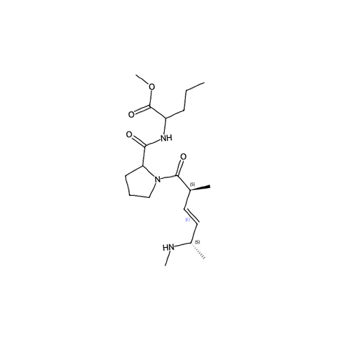 CCCC(NC(=O)C1CCCN1C(=O)[C@@H](C)/C=C/[C@H](C)NC)C(=O)OC